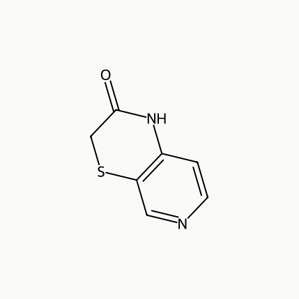 O=C1CSc2cnccc2N1